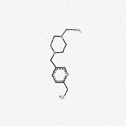 CCc1ccc(CN2CCN(CC)CC2)cn1